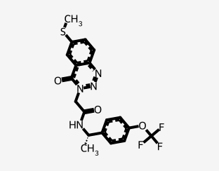 CSc1ccc2nnn(CC(=O)N[C@@H](C)c3ccc(OC(F)(F)F)cc3)c(=O)c2c1